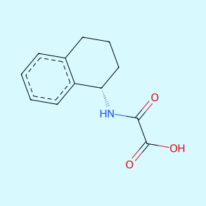 O=C(O)C(=O)N[C@H]1CCCc2ccccc21